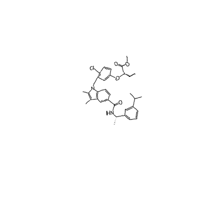 CC[C@@H](Oc1ccc(Cl)c(Cn2c(C)c(C)c3cc(C(=O)N[C@@H](C)c4cccc(C(C)C)c4)ccc32)c1)C(=O)OC